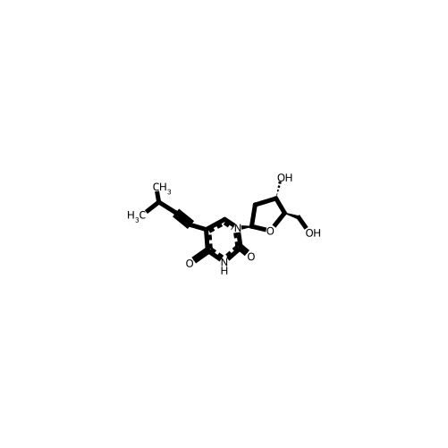 CC(C)C#Cc1cn([C@H]2C[C@H](O)[C@@H](CO)O2)c(=O)[nH]c1=O